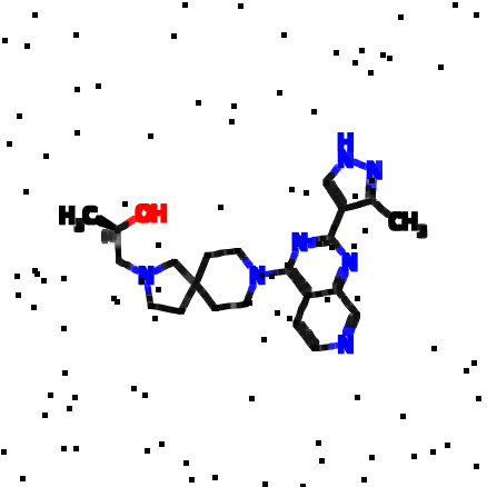 Cc1n[nH]cc1-c1nc(N2CCC3(CCN(C[C@@H](C)O)C3)CC2)c2ccncc2n1